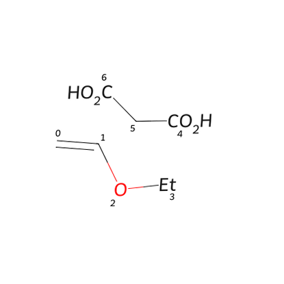 C=COCC.O=C(O)CC(=O)O